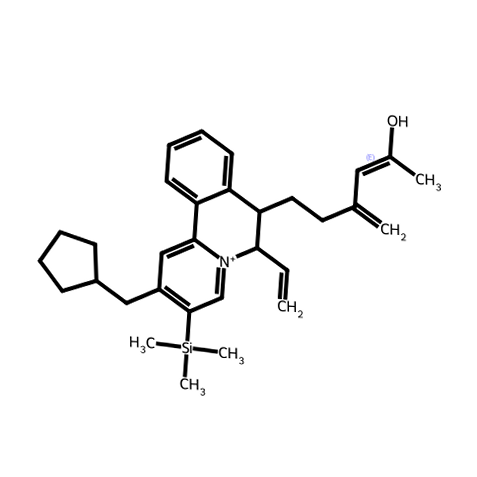 C=CC1C(CCC(=C)/C=C(\C)O)c2ccccc2-c2cc(CC3CCCC3)c([Si](C)(C)C)c[n+]21